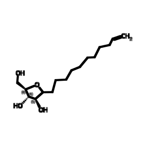 C=CCCCCCCCCCC1O[C@H](CO)[C@@H](O)[C@@H]1O